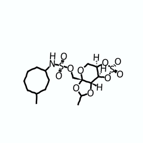 CC1CCCCC(NS(=O)(=O)OC[C@@]23OC[C@H]4OS(=O)(=O)O[C@H]4[C@@H]2OC(C)O3)CC1